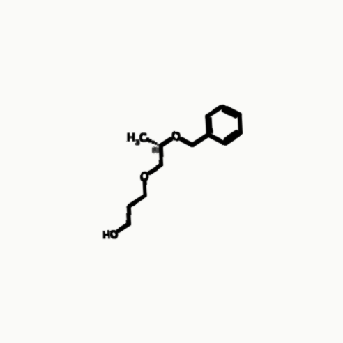 C[C@@H](COCCCO)OCc1ccccc1